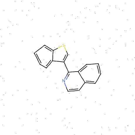 [c]1sc2ccccc2c1-c1nccc2ccccc12